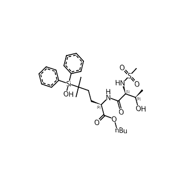 CCCCOC(=O)[C@@H](CCC(C)(C)[Si](O)(c1ccccc1)c1ccccc1)NC(=O)[C@@H](NS(C)(=O)=O)[C@@H](C)O